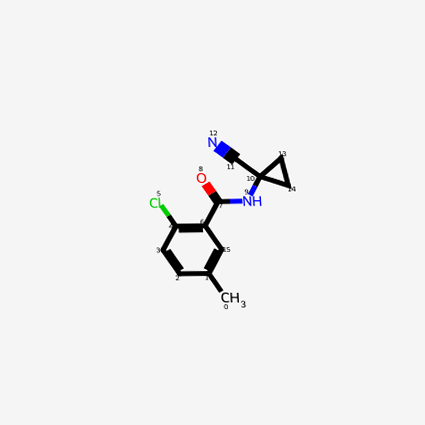 Cc1ccc(Cl)c(C(=O)NC2(C#N)CC2)c1